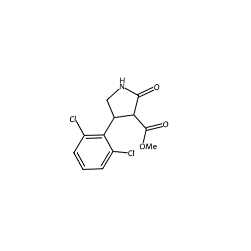 COC(=O)C1C(=O)NCC1c1c(Cl)cccc1Cl